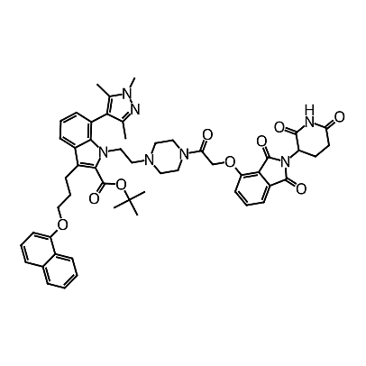 Cc1nn(C)c(C)c1-c1cccc2c(CCCOc3cccc4ccccc34)c(C(=O)OC(C)(C)C)n(CCN3CCN(C(=O)COc4cccc5c4C(=O)N(C4CCC(=O)NC4=O)C5=O)CC3)c12